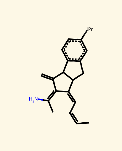 C=C1C(=C(/C)N)/C(=C\C=C/C)C2Cc3cc(C(C)C)ccc3C12